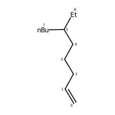 C=CCCCC(CC)CCCC